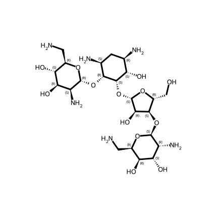 NC[C@H]1O[C@@H](O[C@H]2[C@@H](O)[C@H](O[C@H]3[C@@H](O)[C@H](N)C[C@H](N)[C@H]3O[C@H]3O[C@H](CN)[C@@H](O)[C@H](O)[C@@H]3N)O[C@@H]2CO)[C@H](N)[C@H](O)[C@H]1O